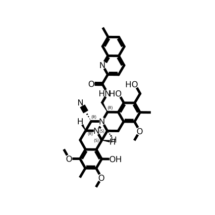 COc1c(C)c(OC)c2c(c1O)[C@H]1[C@@H]3Cc4c(OC)c(C)c(CO)c(O)c4[C@H](CNC(=O)c4ccc5ccc(C)cc5n4)N3[C@@H](C#N)[C@@H](C2)N1C